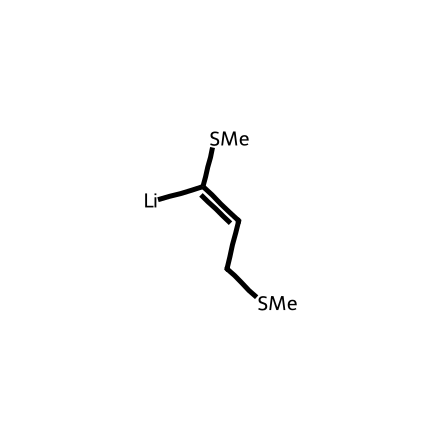 [Li][C](=CCSC)SC